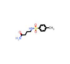 Cc1ccc(S(=O)(=O)NCCCC(N)=O)cc1